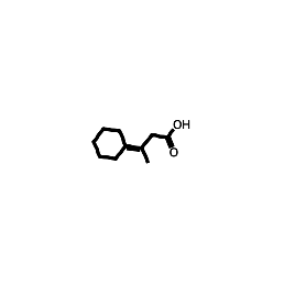 CC(CC(=O)O)=C1CCCCC1